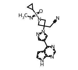 CN=S(=O)(C1CC1)N1CC(CC#N)(n2cc(-c3ncnc4[nH]ccc34)cn2)C1